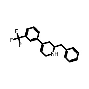 FC(F)(F)c1cccc(C2=CCNC(Cc3ccccc3)C2)c1